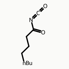 CCCCCCCC(=O)N=C=O